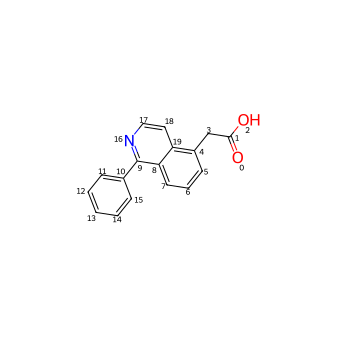 O=C(O)Cc1cccc2c(-c3ccccc3)nccc12